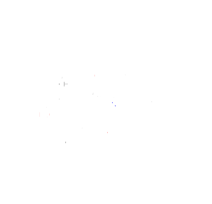 CC(=O)/C(C(=O)Nc1ccccc1)=C(/C)O